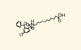 O=C(O)CCCCCCCCCCNS(=O)(=O)c1ccc(Cl)cc1C(=O)c1ccccc1